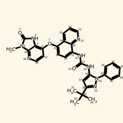 Cn1c(=O)[nH]c2c(Oc3ccc(NC(=O)Nc4cc(C(C)(C)C)nn4-c4ccccc4)c4ncccc34)ccnc21